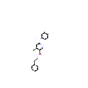 O=C(NCCc1ccccc1)c1cnc(Nc2ccc(Cl)c(Cl)c2)cc1C(F)(F)F